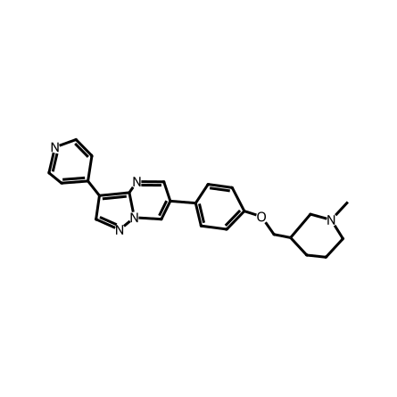 CN1CCCC(COc2ccc(-c3cnc4c(-c5ccncc5)cnn4c3)cc2)C1